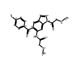 CCCOCC(=O)Nc1cc2c(cnn2C(=O)COCCC)cc1C(=O)c1ccc(F)cc1